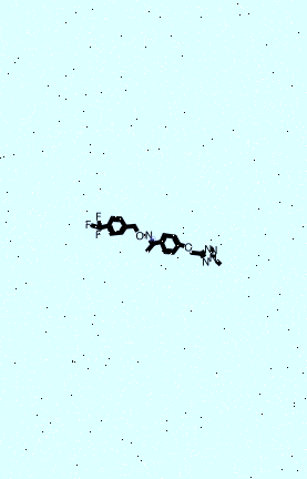 C/C(=N\OCc1ccc(C(F)(F)F)cc1)c1ccc(OCc2nnn(C)n2)cc1